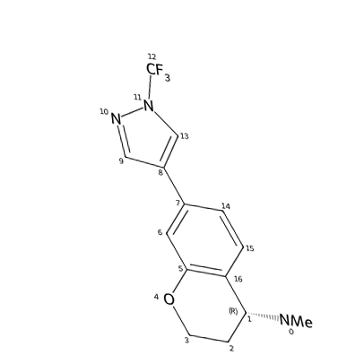 CN[C@@H]1CCOc2cc(-c3cnn(C(F)(F)F)c3)ccc21